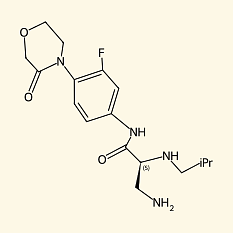 CC(C)CN[C@@H](CN)C(=O)Nc1ccc(N2CCOCC2=O)c(F)c1